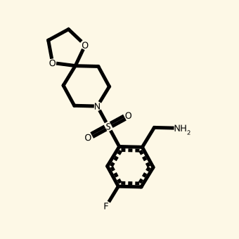 NCc1ccc(F)cc1S(=O)(=O)N1CCC2(CC1)OCCO2